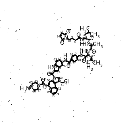 CC(C)C[C@H](NC(=O)CCCN1C(=O)C=CC1=O)C(=O)N[C@@H](C)C(=O)N[C@@H](CC(C)C)C(=O)Nc1ccc(C(=O)Nc2ccc3[nH]c(C(=O)N4C[C@@H](CCl)c5c4cc(OC(=O)N4CCN(N)CC4)c4ccccc54)cc3c2)cc1